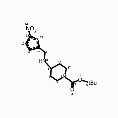 CC(C)(C)OC(=O)N1CCC(NCc2ccc([N+](=O)[O-])s2)CC1